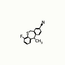 CC1c2ccc(C#N)cc2CSc2c(F)cccc21